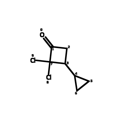 O=C1CC(C2CC2)C1(Cl)Cl